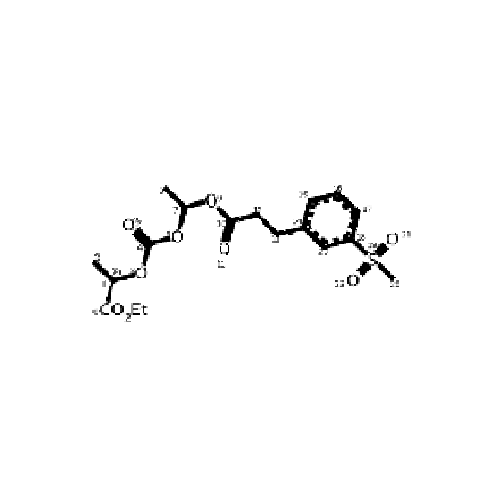 CCOC(=O)[C@@H](C)OC(=O)OC(C)OC(=O)CCc1cccc(S(C)(=O)=O)c1